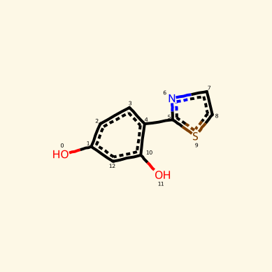 Oc1ccc(-c2nccs2)c(O)c1